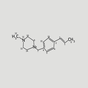 C/C=C/c1ccc(CN2CCN(C)CC2)cc1